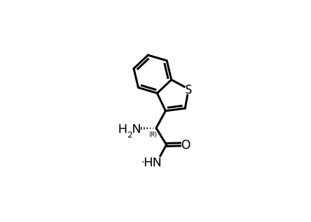 [NH]C(=O)[C@H](N)c1csc2ccccc12